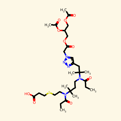 CCC(=O)N(CCSCCC(=O)O)C(C)(C)CCN(C(=O)CC)C(C)(C)Cc1cn(CC(=O)OCC(COC(C)=O)OC(C)=O)nn1